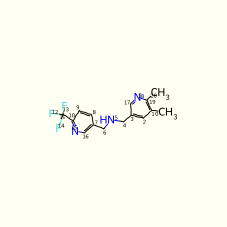 Cc1cc(CNCc2ccc(C(F)(F)F)nc2)cnc1C